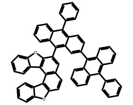 c1ccc(-c2c3ccccc3c(-c3ccc4c(-c5ccccc5)c5ccccc5c(-c5cc6ccc7oc8ccccc8c7c6c6c5oc5ccccc56)c4c3)c3ccccc23)cc1